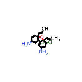 CC=CC1(OC2(C=CC)C=CC(N)=CC2Cl)C=CC(N)=CC1Cl